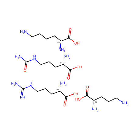 N=C(N)NCCC[C@H](N)C(=O)O.NC(=O)NCCC[C@H](N)C(=O)O.NCCCC[C@H](N)C(=O)O.NCCC[C@H](N)C(=O)O